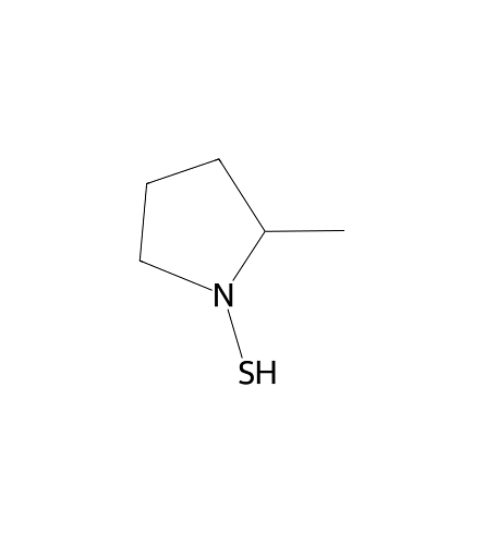 CC1CCCN1S